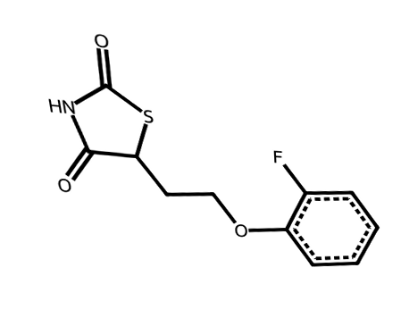 O=C1NC(=O)C(CCOc2ccccc2F)S1